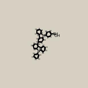 OBc1ccc(-n2c3ccccc3c3cc(-c4cccc5c4c4ccccc4n5-c4ccccc4)ccc32)cc1